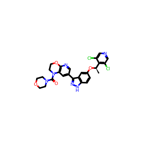 C[C@@H](Oc1ccc2[nH]nc(-c3cnc4c(c3)N(C(=O)N3CCOCC3)CCO4)c2c1)c1c(Cl)cncc1Cl